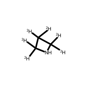 [2H]C1([2H])NC([2H])([2H])C1([2H])[2H]